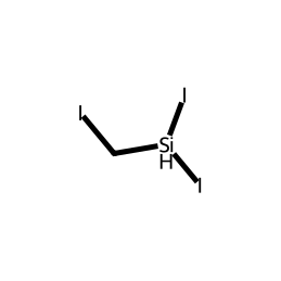 IC[SiH](I)I